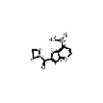 O=C(c1cc2nccc(B(O)O)c2s1)N1CCC1